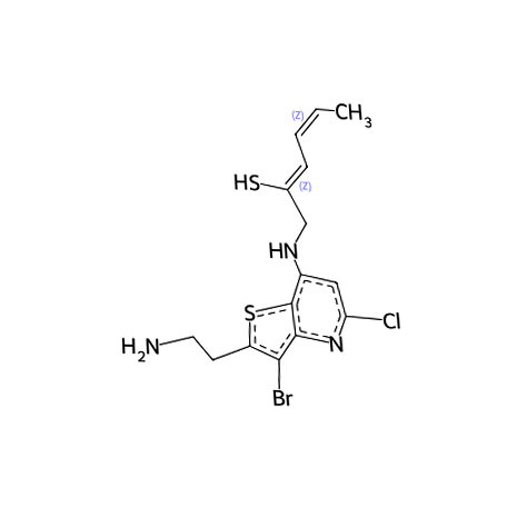 C/C=C\C=C(/S)CNc1cc(Cl)nc2c(Br)c(CCN)sc12